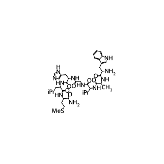 CSCCC(NC(=O)C(CC(C)C)NC(=O)C(Cc1cnc[nH]1)NC(=O)CNC(=O)C(NC(=O)C(C)NC(=O)C(N)Cc1c[nH]c2ccccc12)C(C)C)C(N)=O